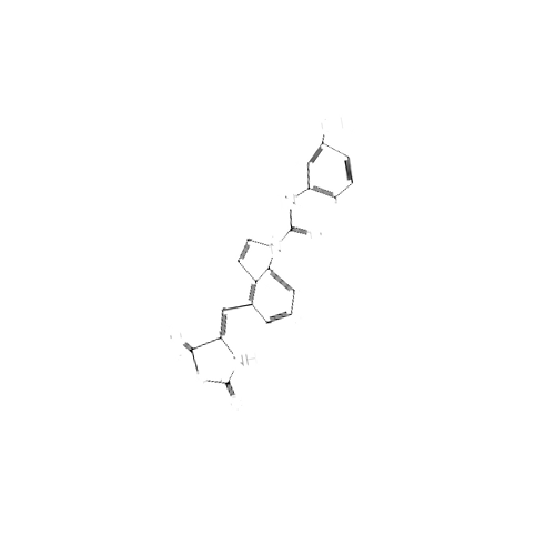 Cc1cccc(NC(=O)n2ccc3c(C=C4NC(=O)SC4=O)cccc32)c1